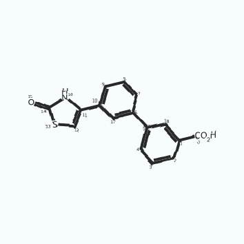 O=C(O)c1cccc(-c2cccc(-c3csc(=O)[nH]3)c2)c1